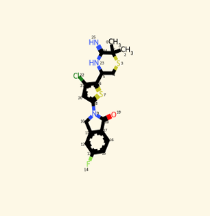 CC1(C)SCC(c2sc(N3Cc4cc(F)ccc4C3=O)cc2Cl)NC1=N